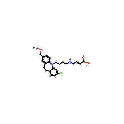 COCc1ccc2c(c1)CCc1ccc(Cl)cc1N2CCCCNC/C=C/C(=O)O